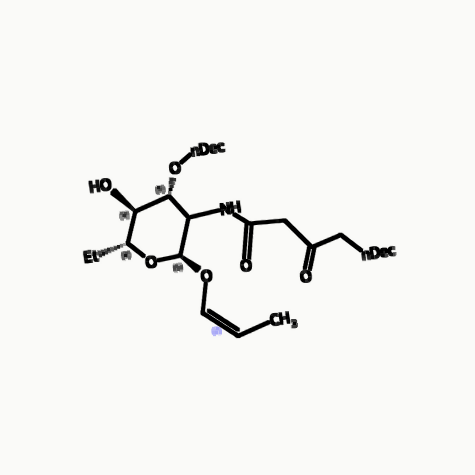 C/C=C\O[C@H]1O[C@H](CC)[C@@H](O)[C@H](OCCCCCCCCCC)C1NC(=O)CC(=O)CCCCCCCCCCC